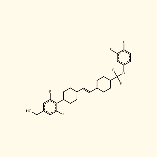 OCc1cc(F)c(C2CCC(/C=C/C3CCC(C(F)(F)Oc4ccc(F)c(F)c4)CC3)CC2)c(F)c1